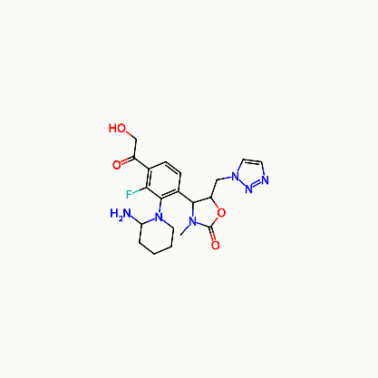 CN1C(=O)OC(Cn2ccnn2)C1c1ccc(C(=O)CO)c(F)c1N1CCCCC1N